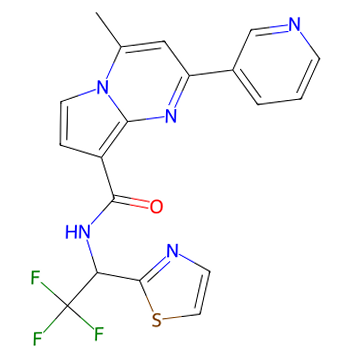 Cc1cc(-c2cccnc2)nc2c(C(=O)NC(c3nccs3)C(F)(F)F)ccn12